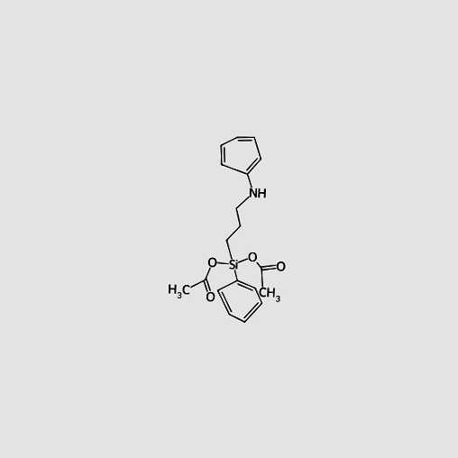 CC(=O)O[Si](CCCNc1ccccc1)(OC(C)=O)c1ccccc1